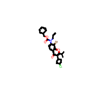 C=CCN(C(=O)OCc1ccccc1)c1ccc2c(=O)c(-c3ccc(Cl)cc3)c(C(C)C)oc2c1Br